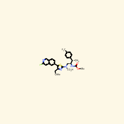 COCc1nc(N(C[C@H](NC(=O)OC(C)(C)C)[C@@H](C)c2ccc(C(F)(F)F)cc2)C(=O)O)sc1-c1ccc2cnc(F)cc2c1